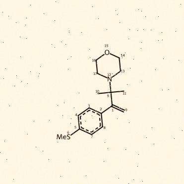 C=C(c1ccc(SC)cc1)C(C)(C)N1CCOCC1